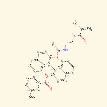 C=C(C)C(=O)OCCNC(=O)Oc1ccc2ccccc2c1-c1c(OC(=O)c2cccc(SC)c2)ccc2ccccc12